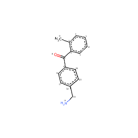 Cc1ccccc1C(=O)c1ccc(CN)cc1